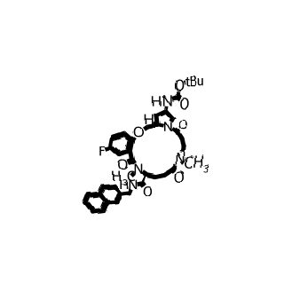 CN1CCC(=O)N2C[C@H](NC(=O)OC(C)(C)C)C[C@H]2COc2ccc(F)cc2C(=O)N(C)[C@H](C(=O)NCc2ccc3ccccc3c2)CCC1=O